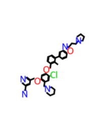 Cc1c(COc2cc(OCc3cncc(C#N)c3)c(CN3CCCCC3)cc2Cl)cccc1-c1ccc2oc(CCN3CCCC3)nc2c1